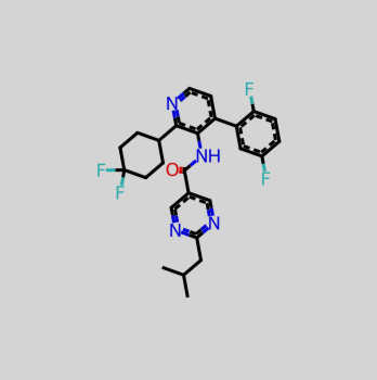 CC(C)Cc1ncc(C(=O)Nc2c(-c3cc(F)ccc3F)ccnc2C2CCC(F)(F)CC2)cn1